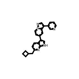 c1cncc(-c2cnn3ccc(-c4c[nH]c5nc(CC6CCC6)ccc45)cc23)c1